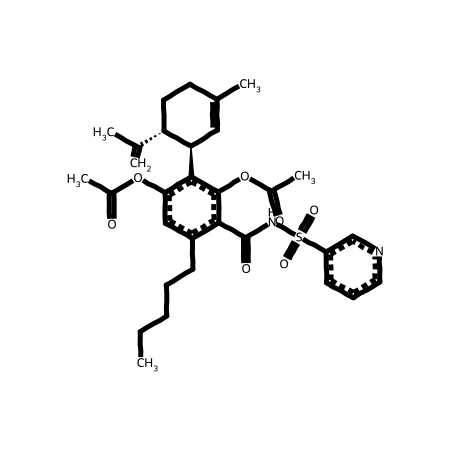 C=C(C)[C@@H]1CCC(C)=C[C@H]1c1c(OC(C)=O)cc(CCCCC)c(C(=O)NS(=O)(=O)c2cccnc2)c1OC(C)=O